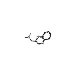 CN(C)Cc1cnc2ccccc2n1